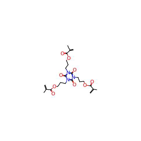 C=C(C)C(=O)OCCCn1c(=O)n(CCCOC(=O)C(=C)C)c(=O)n(CCCOC(=O)C(=C)C)c1=O